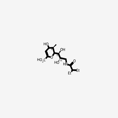 CCC(CC)C(=O)NC[C@H](O)[C@H](O)C1OC(C(=O)O)=CC(O)[C@H]1C